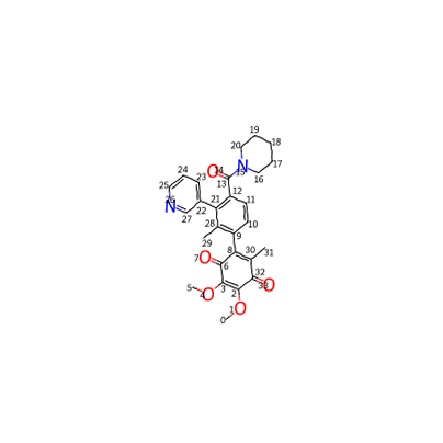 COC1=C(OC)C(=O)C(c2ccc(C(=O)N3CCCCC3)c(-c3cccnc3)c2C)=C(C)C1=O